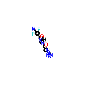 N#Cc1c(F)cc([C@@H]2CN3CCN(C(=O)Cc4ccc(-n5cnnn5)nc4)C[C@@H]3CO2)cc1F